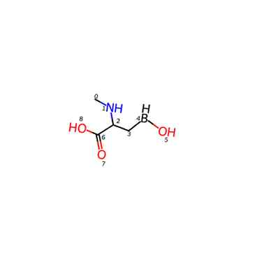 CNC(CBO)C(=O)O